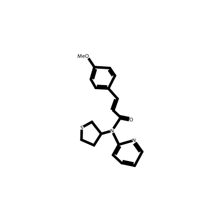 COc1ccc(C=CC(=O)N(c2ccccn2)C2CCSC2)cc1